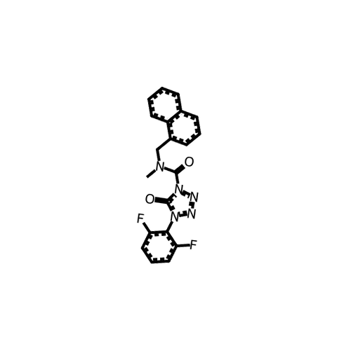 CN(Cc1cccc2ccccc12)C(=O)n1nnn(-c2c(F)cccc2F)c1=O